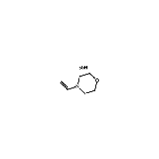 C=CN1CCOCC1.[SbH3]